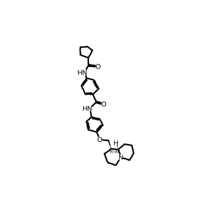 O=C(Nc1ccc(OC[C@@H]2CCCN3CCCC[C@H]23)cc1)c1ccc(NC(=O)C2CCCC2)cc1